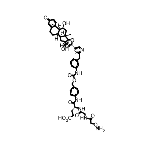 C[C@]12C=CC(=O)C=C1CC[C@@H]1[C@@H]2[C@@H](O)C[C@@]2(C)[C@H]1C[C@H]1O[C@@H](c3cnc(Cc4cccc(NC(=O)OCc5ccc(NC(=O)[C@H](CCC(=O)O)NC(=O)CNC(=O)CON)cc5)c4)s3)O[C@]12C(=O)CO